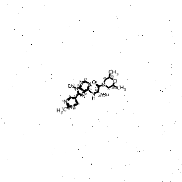 CCn1c(-c2cnc(C)nc2)nc2c(N[C@H](C(=O)N3CC(C)OC(C)C3)C(C)(C)C)ncnc21